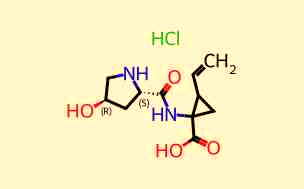 C=CC1CC1(NC(=O)[C@@H]1C[C@@H](O)CN1)C(=O)O.Cl